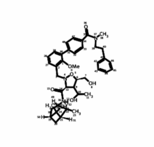 COc1c(CN2O[C@@H](CO)C(C(C)O)[C@H]2C(=O)N[C@H]2C[C@H]3C[C@@H]([C@@H]2C)C3(C)C)cccc1-c1ccc(C(=O)N(C)CCc2ccccc2)cc1